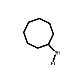 CCBC1CCCCCCC1